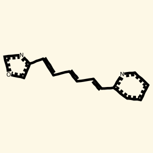 C(=CC=Cc1cocn1)C=Cc1ccccn1